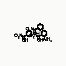 O=[N+]([O-])N(O)c1ccccc1.O=[N+]([O-])N(O)c1ccccc1.O=[N+]([O-])N(O)c1ccccc1.[AlH3]